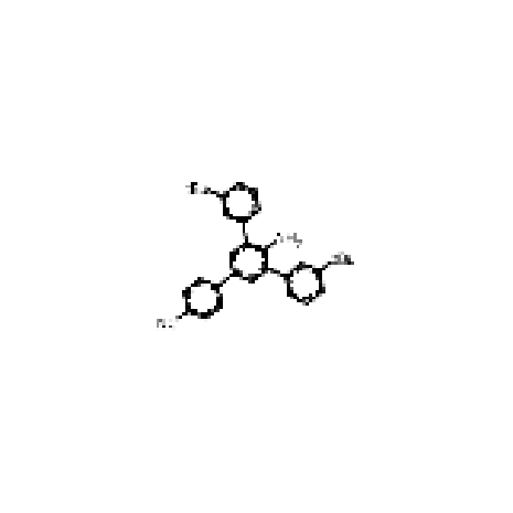 CC(C)(C)c1cccc(-c2cc(-c3ccc(C#N)cc3)cc(-c3cccc(C(C)(C)C)c3)c2N)c1